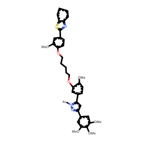 COc1cc(-c2nc3ccccc3s2)ccc1OCCCCCOc1cc(-c2cc(-c3cc(OC)c(OC)c(OC)c3)nn2C(C)=O)ccc1OC